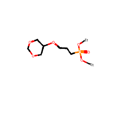 CCOP(=O)(CCCOC1COCOC1)OCC